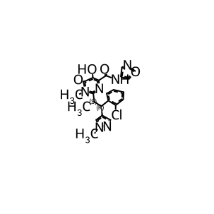 C[C@H](c1nc(C(=O)Nc2cnoc2)c(O)c(=O)n1C)[C@H](c1cnn(C)c1)c1ccccc1Cl